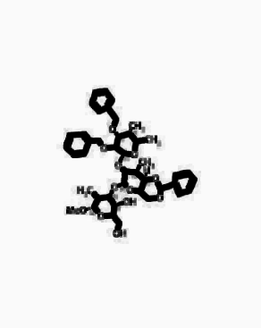 CO[C@H]1OC(CO)[C@H](O)[C@H](O[C@@H]2OC3COC(c4ccccc4)O[C@@H]3[C@H](C)C2O[C@@H]2OC(C)[C@@H](C)[C@H](OCc3ccccc3)C2OCc2ccccc2)C1C